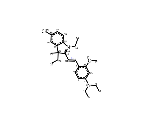 CCN(CC)c1ccc(/C=C/C2=[N+](CC)c3ccc(Cl)cc3C2(C)CC)c(OC)c1